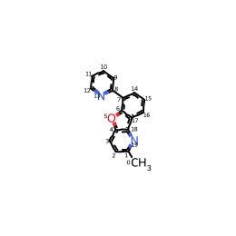 Cc1ccc2oc3c(-c4ccccn4)cccc3c2n1